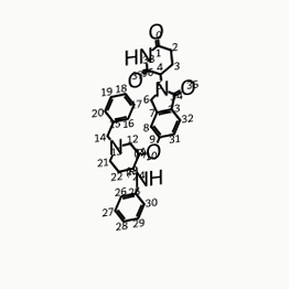 O=C1CCC(N2Cc3cc(O[C@@H]4CN(Cc5ccccc5)CC[C@H]4Nc4ccccc4)ccc3C2=O)C(=O)N1